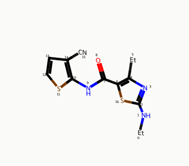 CCNc1nc(CC)c(C(=O)Nc2sccc2C#N)s1